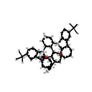 CC(C)(C)c1ccc2c(c1)c1ccccc1n2-c1cncc(-n2c3ccccc3c3cc(C(C)(C)C)ccc32)c1-c1cccc(C#N)c1C#N